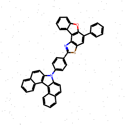 c1ccc(-c2cc3sc(-c4ccc(-n5c6ccc7ccccc7c6c6c7ccccc7ccc65)cc4)nc3c3c2oc2ccccc23)cc1